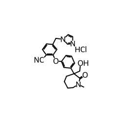 CN1CCCCC(CO)(c2cccc(Oc3cc(Cn4ccnc4)ccc3C#N)c2)C1=O.Cl